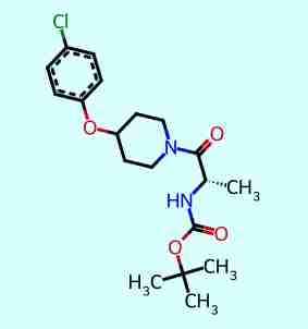 C[C@H](NC(=O)OC(C)(C)C)C(=O)N1CCC(Oc2ccc(Cl)cc2)CC1